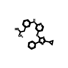 CC(O)Cc1cccc(Nc2cc(Oc3sc(C4CC4)nc3-c3ccccc3)ccn2)c1